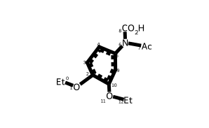 CCOc1ccc(N(C(C)=O)C(=O)O)cc1OCC